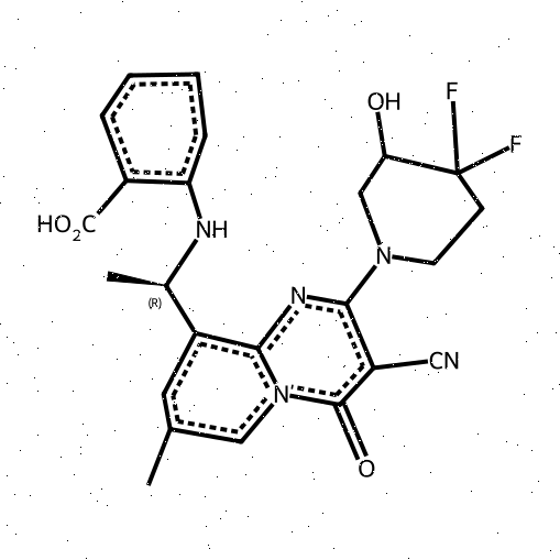 Cc1cc([C@@H](C)Nc2ccccc2C(=O)O)c2nc(N3CCC(F)(F)C(O)C3)c(C#N)c(=O)n2c1